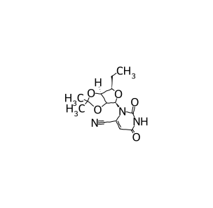 CC[C@H]1O[C@@H](n2c(C#N)cc(=O)[nH]c2=O)C2OC(C)(C)O[C@H]21